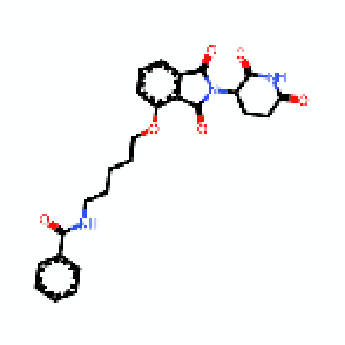 O=C1CCC(N2C(=O)c3cccc(OCCCCCNC(=O)c4ccccc4)c3C2=O)C(=O)N1